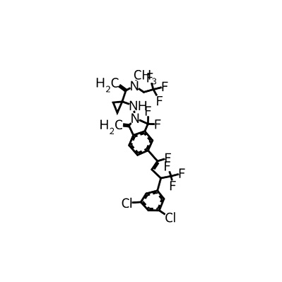 C=C1c2ccc(/C(F)=C/C(c3cc(Cl)cc(Cl)c3)C(F)(F)F)cc2C(F)(F)N1NC1(C(=C)N(C)CC(F)(F)F)CC1